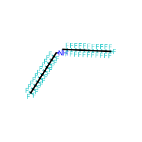 FC(F)(F)C(F)(F)C(F)(F)C(F)(F)C(F)(F)C(F)(F)C(F)(F)C(F)(F)C(F)(F)C(F)(F)C(F)(F)CNCC(F)(F)C(F)(F)C(F)(F)C(F)(F)C(F)(F)C(F)(F)C(F)(F)C(F)(F)C(F)(F)C(F)(F)C(F)(F)F